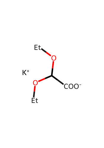 CCOC(OCC)C(=O)[O-].[K+]